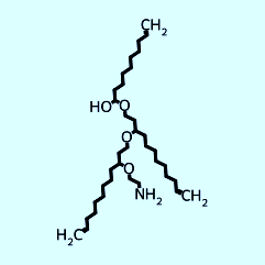 C=CCCCCCCCC(O)OCCC(CCCCCCCC=C)OCCC(CCCCCCCC=C)OCCN